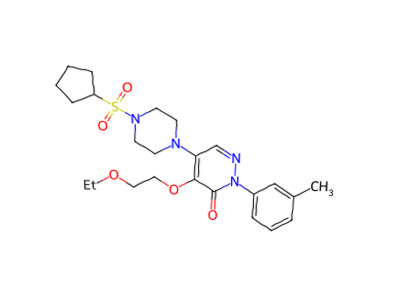 CCOCCOc1c(N2CCN(S(=O)(=O)C3CCCC3)CC2)cnn(-c2cccc(C)c2)c1=O